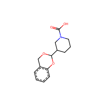 O=C(O)N1CCCC(C2OCc3ccccc3O2)C1